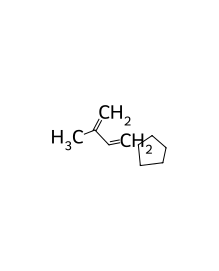 C1CCCC1.C=CC(=C)C